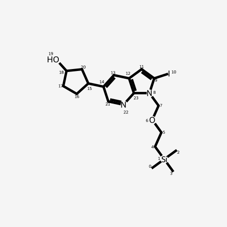 C[Si](C)(C)CCOCn1c(I)cc2cc(C3CCC(O)C3)cnc21